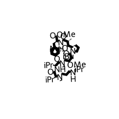 CC[C@H](C)[C@@H]([C@@H](CC(=O)N1CCC[C@H]1[C@H](OC)[C@@H](C)C(=O)N[C@@H](Cc1ccccc1)C(=O)OC)OC)N(C)C(=O)[C@@H](NC(=O)[C@H](C(C)C)N(C)CCCNC(C)C)C(C)C